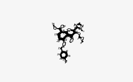 COCOc1c(-c2ncnn2C)oc2c(C(=O)OC)ccc(OCc3ccc(F)cc3)c2c1=O